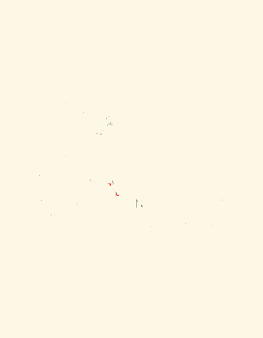 CC1(C)c2ccccc2-c2ccc(N(c3ccc(-c4ccc5c(c4)sc4ccccc45)cc3)c3ccccc3-c3cccc(-c4cccc5ccccc45)c3)cc21